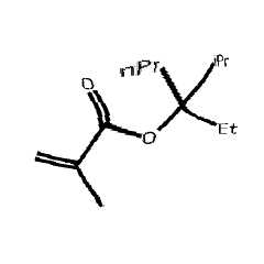 C=C(C)C(=O)OC(CC)(CCC)C(C)C